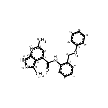 Cc1cc(C(=O)Nc2ccccc2COc2ccccc2)c2c(C)n[nH]c2n1